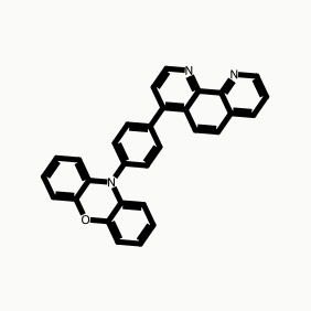 c1ccc2c(c1)Oc1ccccc1N2c1ccc(-c2ccnc3c2ccc2cccnc23)cc1